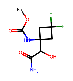 CC(C)(C)OC(=O)NC1(C(O)C(N)=O)CC(F)(F)C1